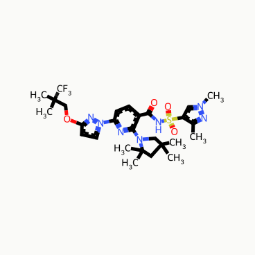 Cc1nn(C)cc1S(=O)(=O)NC(=O)c1ccc(-n2ccc(OCC(C)(C)C(F)(F)F)n2)nc1N1CC(C)(C)CC1(C)C